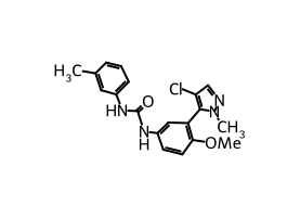 COc1ccc(NC(=O)Nc2cccc(C)c2)cc1-c1c(Cl)cnn1C